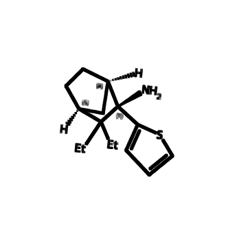 CCC1(CC)[C@H]2CC[C@H](C2)[C@]1(N)c1cccs1